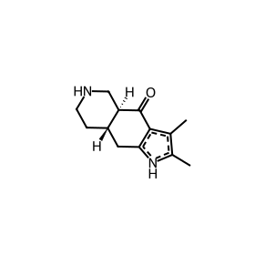 Cc1[nH]c2c(c1C)C(=O)[C@@H]1CNCC[C@H]1C2